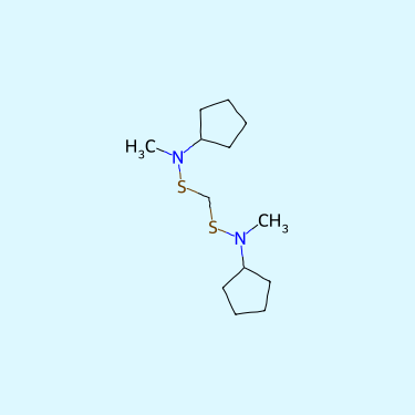 CN(SCSN(C)C1CCCC1)C1CCCC1